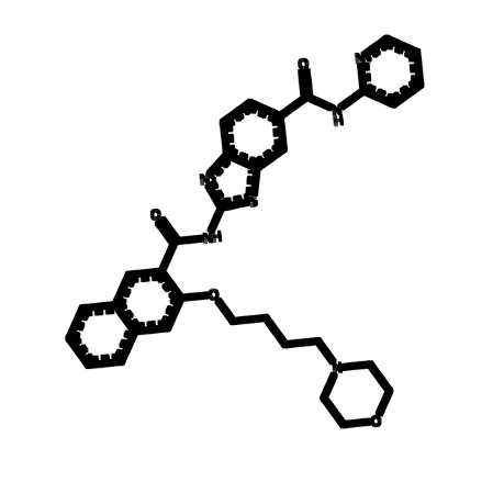 O=C(Nc1ccccn1)c1ccc2nc(NC(=O)c3cc4ccccc4cc3OCCCCN3CCOCC3)sc2c1